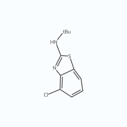 CC(C)(C)Nc1nc2c(Cl)cccc2s1